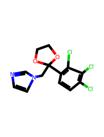 Clc1ccc(C2(Cn3ccnc3)OCCO2)c(Cl)c1Cl